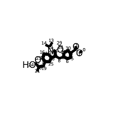 COC(=O)c1ccc(Cc2cn(C(C)C)c3ccc(C=C(C)C(=O)O)cc23)c(OC)c1